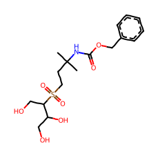 CC(C)(CCS(=O)(=O)C(CO)C(O)CO)NC(=O)OCc1ccccc1